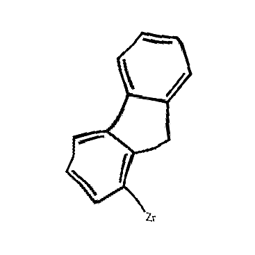 [Zr][c]1cccc2c1Cc1ccccc1-2